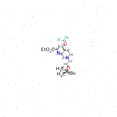 CCOC(=O)c1cc(OC(F)F)c2c(n1)CN(CCO[Si](C)(C)C(C)(C)C)CC2